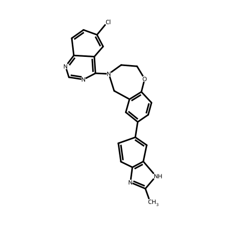 Cc1nc2ccc(-c3ccc4c(c3)CN(c3ncnc5ccc(Cl)cc35)CCO4)cc2[nH]1